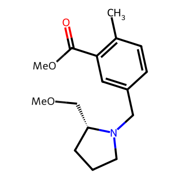 COC[C@H]1CCCN1Cc1ccc(C)c(C(=O)OC)c1